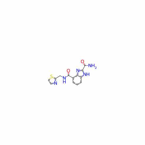 NC(=O)c1nc2c(C(=O)NCc3nccs3)cccc2[nH]1